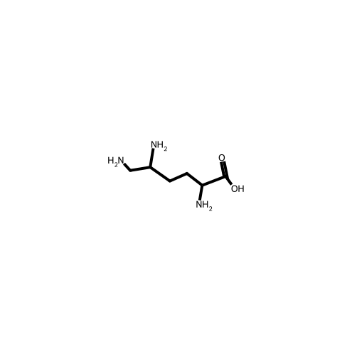 NCC(N)CCC(N)C(=O)O